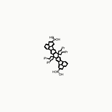 CC(C)CCC1(CCC(C)C)c2cc3c(cc2C(CCC(C)C)(CCC(C)C)c2cc4c(cc21)-c1cc(B(O)O)cc2cccc-4c12)-c1cc(B(O)O)cc2cccc-3c12